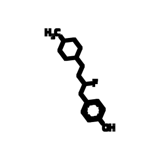 CC1CCC(CCC(F)Cc2ccc(O)cc2)CC1